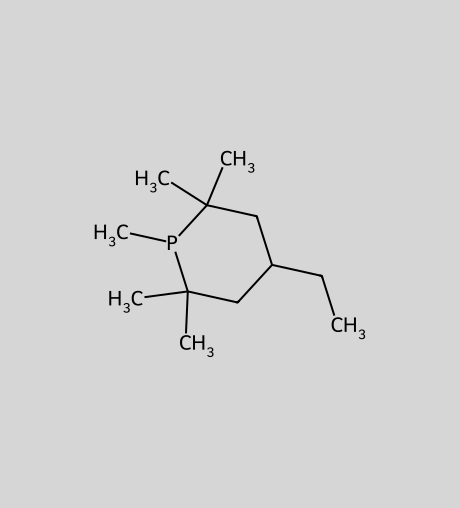 CCC1CC(C)(C)P(C)C(C)(C)C1